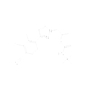 Cc1c(-c2ccn(CC(C)OC(=O)NC(C)(C)C)n2)ccc(C#N)c1Cl